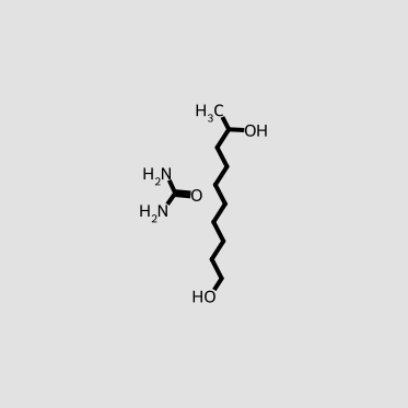 CC(O)CCCCCCCCO.NC(N)=O